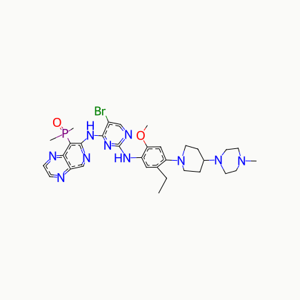 CCc1cc(Nc2ncc(Br)c(Nc3ncc4nccnc4c3P(C)(C)=O)n2)c(OC)cc1N1CCC(N2CCN(C)CC2)CC1